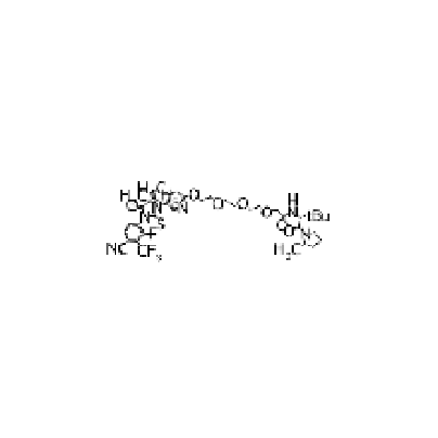 Cc1cc(OCCOCCOCCOCC(=O)N[C@H](C(=O)N2CCCC2C)C(C)(C)C)ncc1N1C(=S)N(c2ccc(C#N)c(C(F)(F)F)c2F)C(=O)C1(C)C